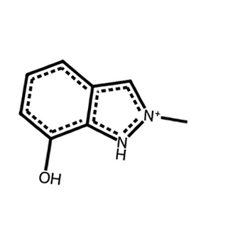 C[n+]1cc2cccc(O)c2[nH]1